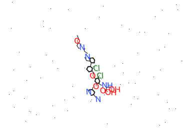 CCOC1CCN(CCCN2CCc3c(-c4cccc(COc5cc(OCc6cncc(C#N)c6)c(CNC(CO)C(=O)O)cc5Cl)c4Cl)cccc32)C1